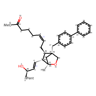 CCCCC[C@@H](O)/C=C/[C@@H]1[C@@H](C/C=C\CCCC(=O)OC)[C@@]2(Cc3ccc(-c4ccccc4)cc3)CO[C@@H]1C2